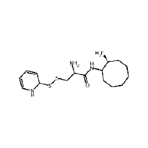 C[C@H]1CCCCCCC1NC(=O)C(N)CSSC1C=CC=CN1